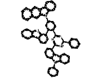 c1ccc(C2N=C(c3ccc(-n4c5ccccc5c5cc6ccccc6cc54)cc3-c3cccc4c3oc3ccccc34)N=C(c3cccc4c3c3ccccc3n4-c3ccccc3)N2)cc1